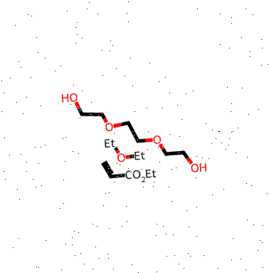 C=CC(=O)OCC.CCOCC.OCCOCCOCCO